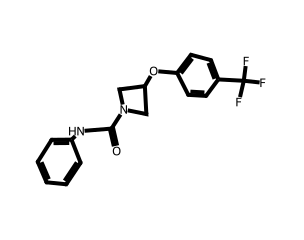 O=C(Nc1ccccc1)N1CC(Oc2ccc(C(F)(F)F)cc2)C1